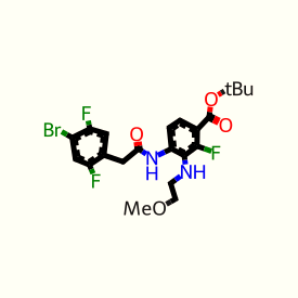 COCCNc1c(NC(=O)Cc2cc(F)c(Br)cc2F)ccc(C(=O)OC(C)(C)C)c1F